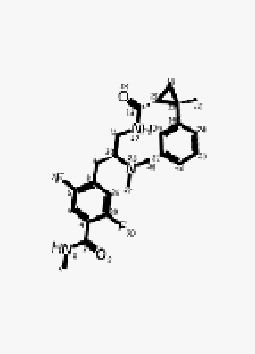 CNC(=O)c1cc(F)c(C[C@@H](CNC(=O)[C@@H]2C[C@]2(C)c2ccccc2)N(C)C)cc1F